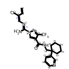 C=C/C(Cl)=C\N=C(/N)n1cc(C(=O)NCC2(c3cccnc3)CCCCC2)c(C(F)(F)F)n1